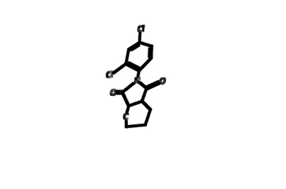 O=C1C2CCCCC2C(=O)N1c1ccc(Cl)cc1Cl